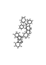 c1ccc([Si](c2ccccc2)(c2ccccc2)c2cnc3oc4ccc(-n5c6ccccc6n6c7ccccc7nc56)cc4c3c2)cc1